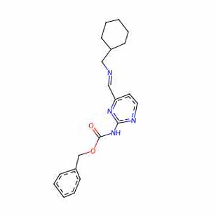 O=C(Nc1nccc(C=NCC2CCCCC2)n1)OCc1ccccc1